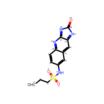 O=CCCS(=O)(=O)Nc1ccc2nc3c(cc2c1)=NC(=O)N=3